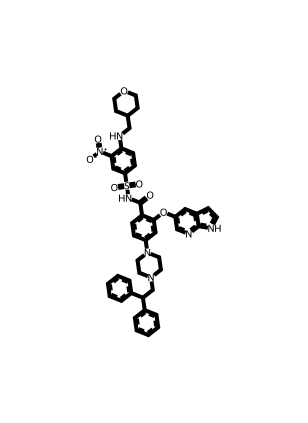 O=C(NS(=O)(=O)c1ccc(NCC2CCOCC2)c([N+](=O)[O-])c1)c1ccc(N2CCN(CC(c3ccccc3)c3ccccc3)CC2)cc1Oc1cnc2[nH]ccc2c1